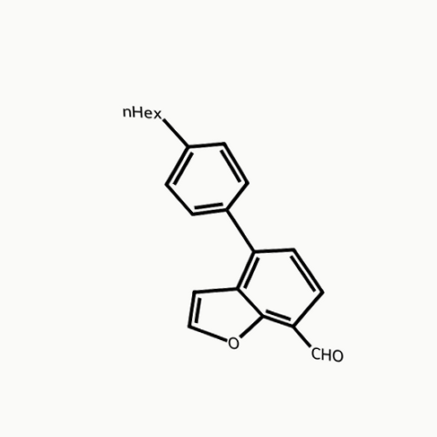 CCCCCCc1ccc(-c2ccc(C=O)c3occc23)cc1